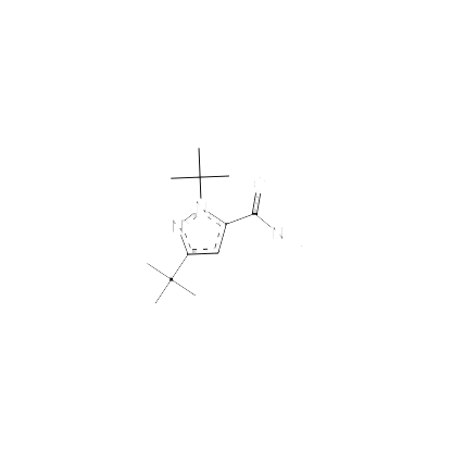 CC(C)(C)c1cc(C(N)=O)n(C(C)(C)C)n1